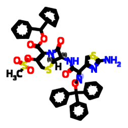 CS(=O)(=O)OC1=C(C(=O)OC(c2ccccc2)c2ccccc2)N2C(=O)[C@@H](NC(=O)/C(=N\OC(c3ccccc3)(c3ccccc3)c3ccccc3)c3csc(N)n3)[C@@H]2SC1